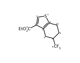 CCOC(=O)c1csc2c1CC(C(F)(F)F)CC2